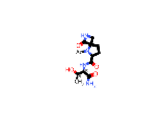 CC(=O)N1C(C(=O)N[C@@H](C(N)=O)[C@@H](C)O)CCC12CNC2=O